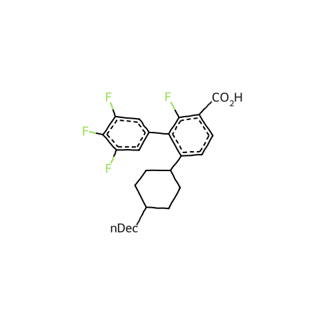 CCCCCCCCCCC1CCC(c2ccc(C(=O)O)c(F)c2-c2cc(F)c(F)c(F)c2)CC1